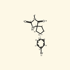 CN1C(=O)NC2(CC[C@H](c3ccc(Br)cc3)C2)C1=O